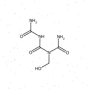 NC(=O)NC(=O)N(CO)C(N)=O